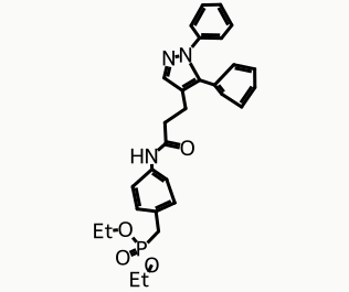 CCOP(=O)(Cc1ccc(NC(=O)CCc2cnn(-c3ccccc3)c2-c2ccccc2)cc1)OCC